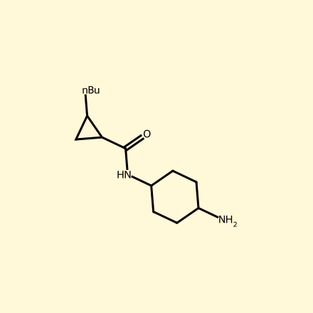 CCCCC1CC1C(=O)NC1CCC(N)CC1